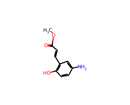 COC(=O)C=Cc1cc(N)ccc1O